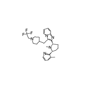 Cc1cccnc1[C@@H]1CCC[C@H](c2nc3ccccn3c2CC2CCN(CC(F)(F)F)CC2)N1C